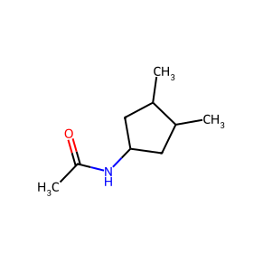 CC(=O)NC1CC(C)C(C)C1